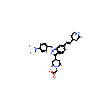 CN(C)c1ccc(Cn2nc(C3CCN(CC(=O)O)CC3)c3ccc(/C=C/C4CCNCC4)cc32)cc1